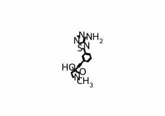 CN1CC[C@](O)(C#Cc2cccc(-c3nc4c(N)ncnc4s3)c2)C1=O